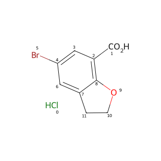 Cl.O=C(O)c1cc(Br)cc2c1OCC2